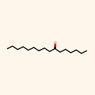 [CH2]CCCC[CH]C(=O)CCCCCCCCC